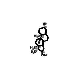 CC(=O)O[C@@H]1CC2=C3CCC4=C[C@@H](O)CC[C@]4(C)[C@H]3CC[C@]2(C)[C@H]1N